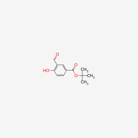 CC(C)(C)OC(=O)c1ccc(O)c(C=O)c1